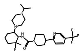 CC(C)N1CCN(C2CCCC(F)(F)[C@@H]2NC(=O)N2CCC(c3ccc(C(F)(F)F)cn3)CC2)CC1